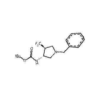 CC(C)(C)OC(=O)N[C@H]1CN(Cc2ccccc2)C[C@@H]1C(F)(F)F